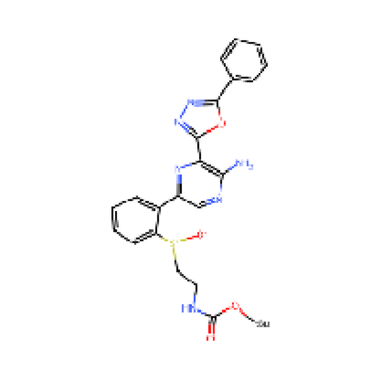 CC(C)(C)OC(=O)NCC[S+]([O-])c1ccccc1-c1cnc(N)c(-c2nnc(-c3ccccc3)o2)n1